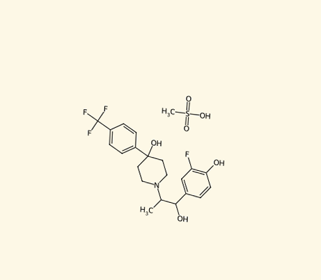 CC(C(O)c1ccc(O)c(F)c1)N1CCC(O)(c2ccc(C(F)(F)F)cc2)CC1.CS(=O)(=O)O